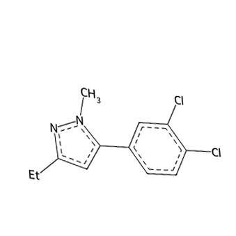 CCc1cc(-c2ccc(Cl)c(Cl)c2)n(C)n1